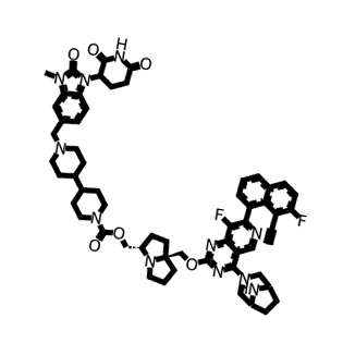 C#Cc1c(F)ccc2cccc(-c3ncc4c(N5CC6CCC(C5)N6)nc(OC[C@@]56CCCN5[C@H](COC(=O)N5CCC(C7CCN(Cc8ccc9c(c8)n(C)c(=O)n9C8CCC(=O)NC8=O)CC7)CC5)CC6)nc4c3F)c12